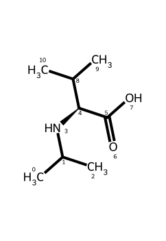 CC(C)N[C@H](C(=O)O)C(C)C